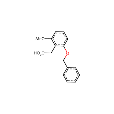 COc1cccc(OCc2ccccc2)c1CC(=O)O